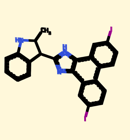 CC1Nc2ccccc2C1c1nc2c3cc(I)ccc3c3ccc(I)cc3c2[nH]1